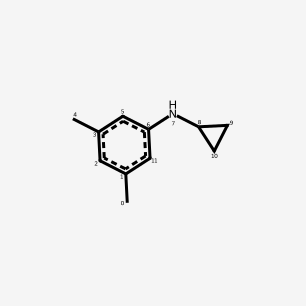 Cc1cc(C)cc(NC2CC2)c1